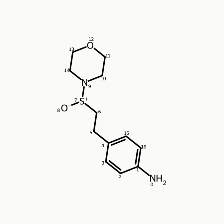 Nc1ccc(CC[S+]([O-])N2CCOCC2)cc1